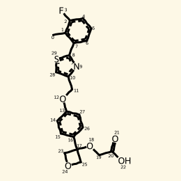 Cc1c(F)cccc1-c1nc(COc2ccc(C3(OCC(=O)O)COC3)cc2)cs1